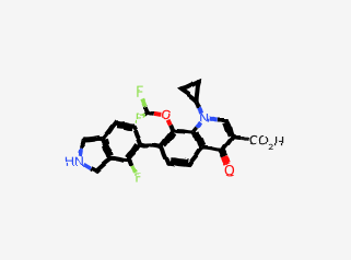 O=C(O)c1cn(C2CC2)c2c(OC(F)F)c(-c3ccc4c(c3F)CNC4)ccc2c1=O